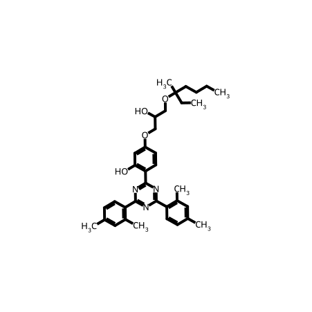 CCCCC(C)(CC)OCC(O)COc1ccc(-c2nc(-c3ccc(C)cc3C)nc(-c3ccc(C)cc3C)n2)c(O)c1